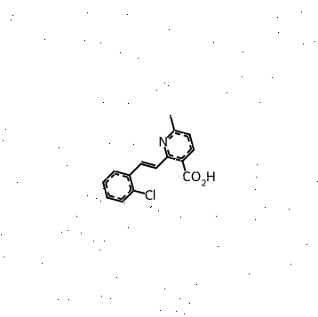 Cc1ccc(C(=O)O)c(C=Cc2ccccc2Cl)n1